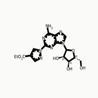 CCOC(=O)c1cnn(-c2nc(N)c3ncn(C4O[C@H](CO)[C@@H](O)[C@H]4O)c3n2)c1